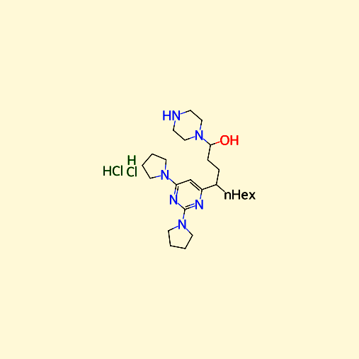 CCCCCCC(CCC(O)N1CCNCC1)c1cc(N2CCCC2)nc(N2CCCC2)n1.Cl.Cl